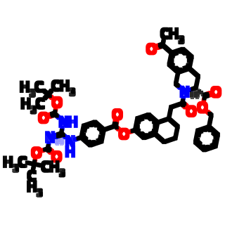 CC(=O)c1ccc2c(c1)CN(C(=O)CC1CCCc3cc(OC(=O)c4ccc(N/C(=N\C(=O)OC(C)(C)C)NC(=O)OC(C)(C)C)cc4)ccc31)[C@@H](C(=O)OCc1ccccc1)C2